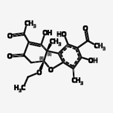 CCO[C@@]12CC(=O)C(C(C)=O)=C(O)[C@]1(C)c1c(O)c(C(C)=O)c(O)c(C)c1O2